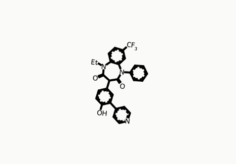 CCN1C(=O)C(c2ccc(O)c(-c3ccncc3)c2)C(=O)N(c2ccccc2)c2cc(C(F)(F)F)ccc21